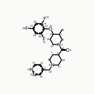 CC1CN(C(=O)C2CCN(Cc3ccnnc3)CC2)CCC1Oc1c(F)cc(F)cc1F